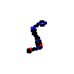 CN1CCN(CCCn2cc(C(C)(C)CCC(C)(C)N3CCC4(CC3)CN(CCCOC(C)(C)C)CCO4)cn2)CC1